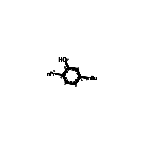 CCCCc1ccc(CCC)c(O)c1